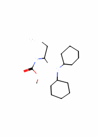 C1CCC(NC2CCCCC2)CC1.COCC(NC(=O)OC(C)(C)C)C(=O)O